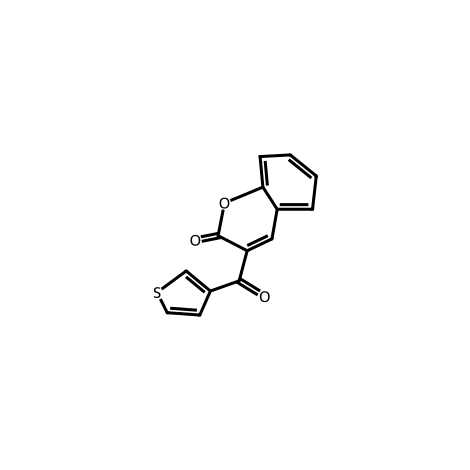 O=C(c1ccsc1)c1cc2ccccc2oc1=O